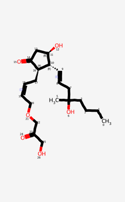 CCCCC(C)(O)C/C=C/[C@H]1[C@H](O)CC(=O)[C@@H]1C/C=C\COCC(=O)CO